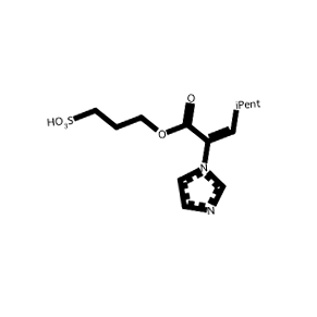 CCCC(C)C=C(C(=O)OCCCS(=O)(=O)O)n1ccnc1